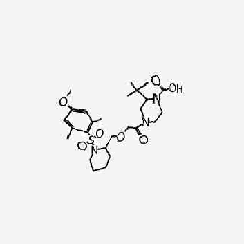 COc1cc(C)c(S(=O)(=O)N2CCCCC2COCC(=O)N2CCN(C(=O)O)C(C(C)(C)C)C2)c(C)c1